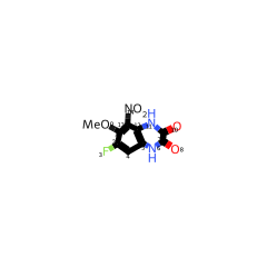 COc1c(F)cc2[nH]c(=O)c(=O)[nH]c2c1[N+](=O)[O-]